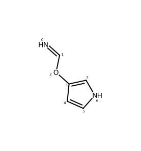 N=COc1cc[nH]c1